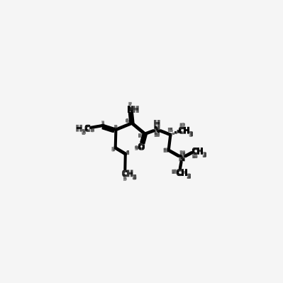 C/C=C(\CCC)C(=N)C(=O)N[C@H](C)CN(C)C